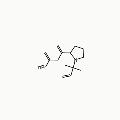 C=CC(C)(C)N1CCCC1C(=C)CC(=C)CCC